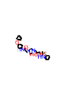 CC1(OC[C@@H](O)CN2CCN(CC(=O)Nc3ccc(Oc4ccccc4)cc3)CC2)Nc2ccccc2S1